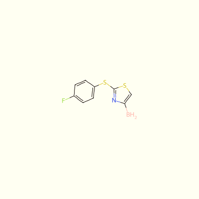 Bc1csc(Sc2ccc(F)cc2)n1